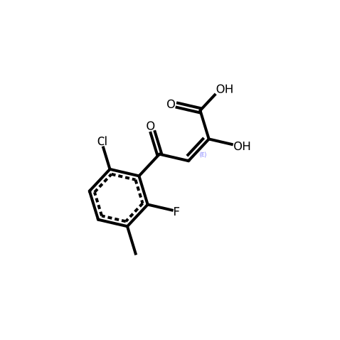 Cc1ccc(Cl)c(C(=O)/C=C(/O)C(=O)O)c1F